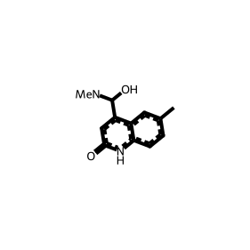 CNC(O)c1cc(=O)[nH]c2ccc(C)cc12